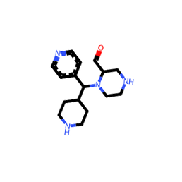 O=CC1CNCCN1C(c1ccncc1)C1CCNCC1